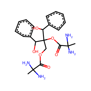 CC(N)(N)C(=O)OCC(OC(=O)C(C)(N)N)(C(O)c1ccccc1)C(O)c1ccccc1